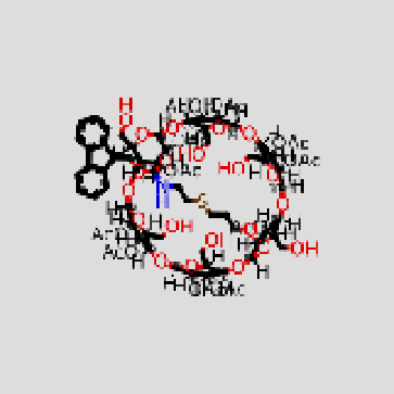 CC(=O)O[C@@H]1[C@@H](OC(C)=O)[C@H]2O[C@H]3[C@H](OC(C)=O)[C@@H](OCCCSCCNC(=O)OCC4c5ccccc5-c5ccccc54)[C@@H](O[C@H]4[C@H](OC(C)=O)[C@@H](OC(C)=O)[C@@H](O[C@@H]5[C@@H](OC(C)=O)[C@H](OC(C)=O)[C@H](O[C@@H]6[C@@H](OC(C)=O)[C@H](OC(C)=O)[C@H](O[C@@H]7[C@@H](OC(C)=O)[C@H](OC(C)=O)[C@H](O[C@@H]1[C@@H](CO)O2)O[C@H]7CO)O[C@H]6CO)O[C@H]5CO)O[C@@H]4CO)O[C@@H]3CO